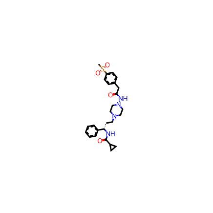 CS(=O)(=O)c1ccc(CC(=O)NN2CCN(CC[C@H](NC(=O)C3CC3)c3ccccc3)CC2)cc1